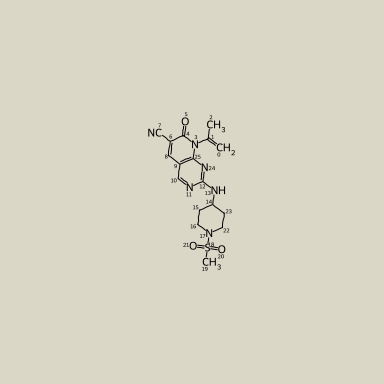 C=C(C)n1c(=O)c(C#N)cc2cnc(NC3CCN(S(C)(=O)=O)CC3)nc21